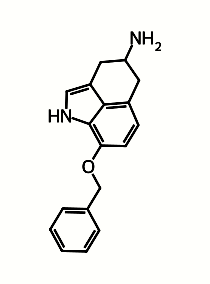 NC1Cc2ccc(OCc3ccccc3)c3[nH]cc(c23)C1